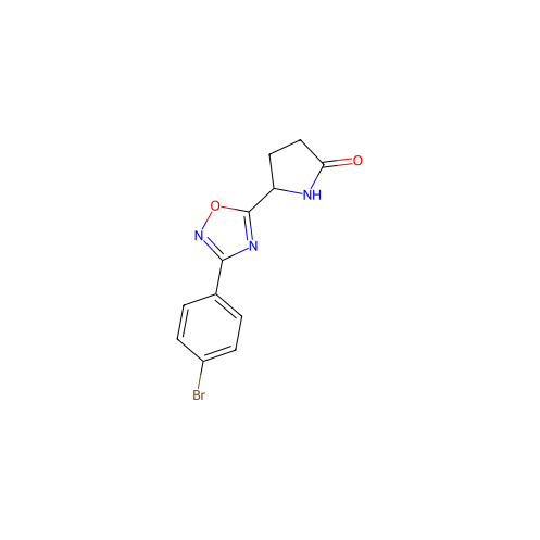 O=C1CCC(c2nc(-c3ccc(Br)cc3)no2)N1